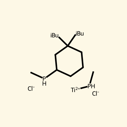 CCC(C)C1(C(C)CC)CCCC(PC)C1.C[PH][Ti+2].[Cl-].[Cl-]